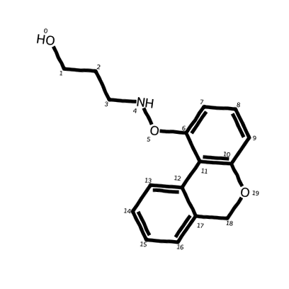 OCCCNOc1cccc2c1-c1ccccc1CO2